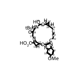 COc1ccc2nc3c(nc2c1)O[C@@H]1C[C@@H](C(=O)O)N(CC(=O)[C@H](C(C)(C)C)NC(O)O[C@@H]2C[C@H]2CCCCC3)C1